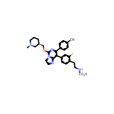 CN1CCC[C@@H](COc2nc(-c3ccc(C#N)cc3)c(-c3ccc(CCNC(=O)O)c(F)c3)c3nccn23)C1